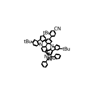 CC(C)(C)c1ccc2c(c1)c1cc(C(C)(C)C)ccc1n2-c1ccc(-c2nc(-c3ccccc3)nc(-c3ccccc3)n2)cc1-c1ccc(-c2ccc(C#N)cc2)cc1-n1c2ccc(C(C)(C)C)cc2c2cc(C(C)(C)C)ccc21